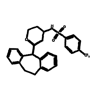 O=S(=O)(NC1CCOC(C2c3ccccc3CCc3ccccc32)C1)c1ccc(C(F)(F)F)cc1